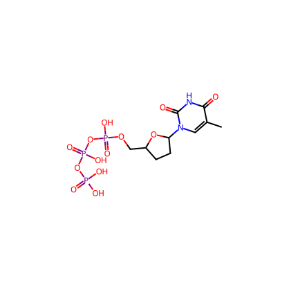 Cc1cn(C2CCC(COP(=O)(O)OP(=O)(O)OP(=O)(O)O)O2)c(=O)[nH]c1=O